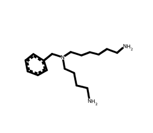 NCCCCCCN(CCCCN)Cc1ccccc1